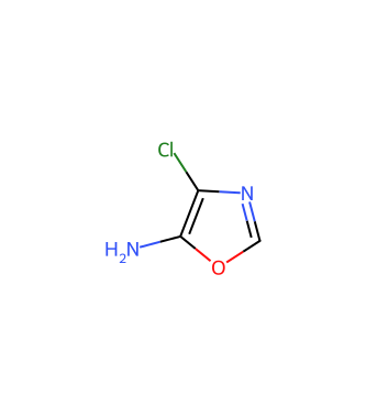 Nc1ocnc1Cl